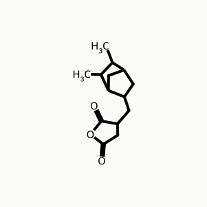 CC1C2CC(CC3CC(=O)OC3=O)C(C2)C1C